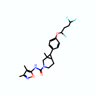 Cc1noc(NC(=O)N2CCC3C(c4ccc(OC(F)CCC(F)F)cc4)C3(C)C2)c1C